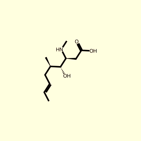 C/C=C/C[C@@H](C)[C@@H](O)[C@H](CC(=O)O)NC